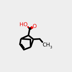 CCC1C2C=CC(C2)C1C(=O)O